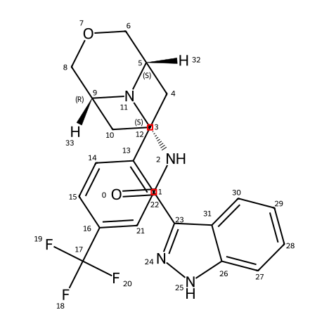 O=C(N[C@H]1C[C@H]2COC[C@@H](C1)N2Cc1ccc(C(F)(F)F)cc1)c1n[nH]c2ccccc12